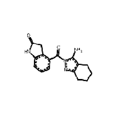 Nc1c2c(nn1C(=O)c1cccc3c1CC(=O)N3)CCCC2